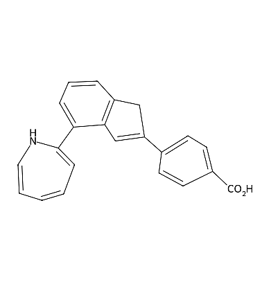 O=C(O)c1ccc(C2=Cc3c(cccc3C3=CC=CC=CN3)C2)cc1